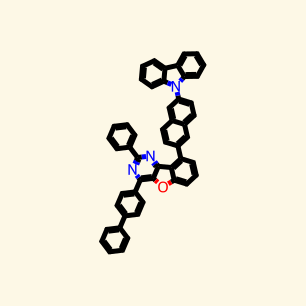 c1ccc(-c2ccc(-c3nc(-c4ccccc4)nc4c3oc3cccc(-c5ccc6cc(-n7c8ccccc8c8ccccc87)ccc6c5)c34)cc2)cc1